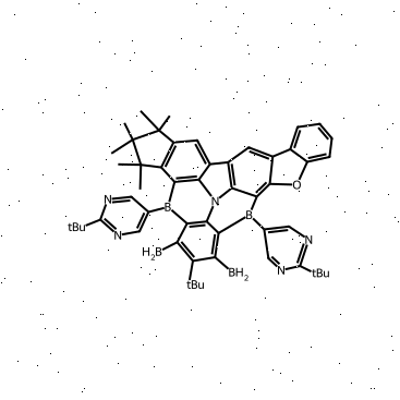 Bc1c2c3c(c(B)c1C(C)(C)C)B(c1cnc(C(C)(C)C)nc1)c1c4oc5ccccc5c4cc4c5cc6c(c(c5n-3c14)B2c1cnc(C(C)(C)C)nc1)C(C)(C)C(C)(C)C6(C)C